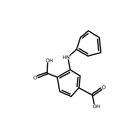 O=C(O)c1ccc(C(=O)O)c(Nc2ccccc2)c1